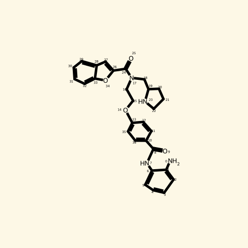 Nc1ccccc1NC(=O)c1ccc(OCCN(CC2CCCN2)C(=O)c2cc3ccccc3o2)cc1